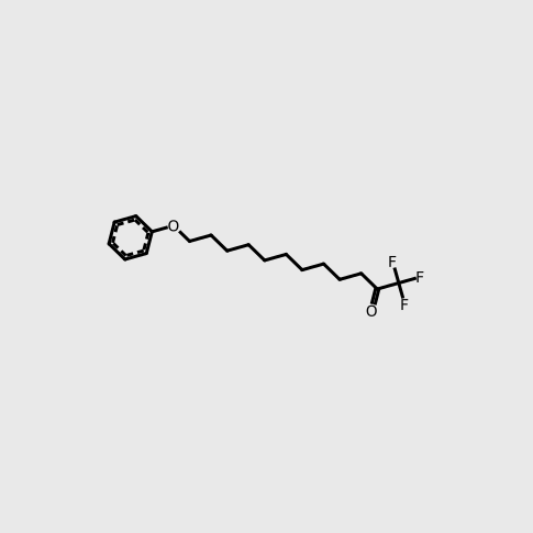 O=C(CCCCCCCCCCOc1ccccc1)C(F)(F)F